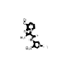 CCOc1cccn2c(C(=O)NC3CN(C)CC3C(=O)O)c(C)nc12